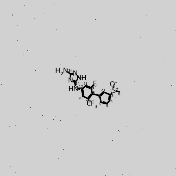 C[S+]([O-])c1cccc(-c2c(F)cc(Nc3nc(N)n[nH]3)cc2C(F)(F)F)c1